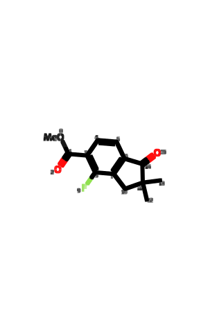 COC(=O)c1ccc2c(c1F)CC(C)(C)C2=O